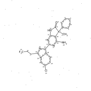 CC1(c2ccccc2)C(=O)Nc2nc(-c3nc(CCC(F)(F)F)n4cc(Cl)ccc34)nc(N)c21